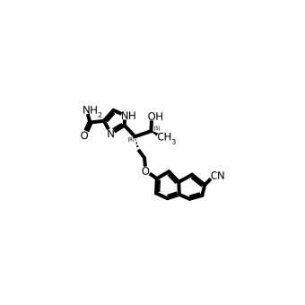 C[C@H](O)[C@H](CCOc1ccc2ccc(C#N)cc2c1)c1nc(C(N)=O)c[nH]1